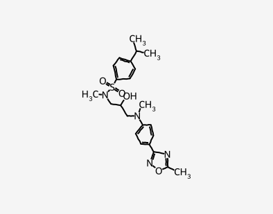 Cc1nc(-c2ccc(N(C)CC(O)CN(C)S(=O)(=O)c3ccc(C(C)C)cc3)cc2)no1